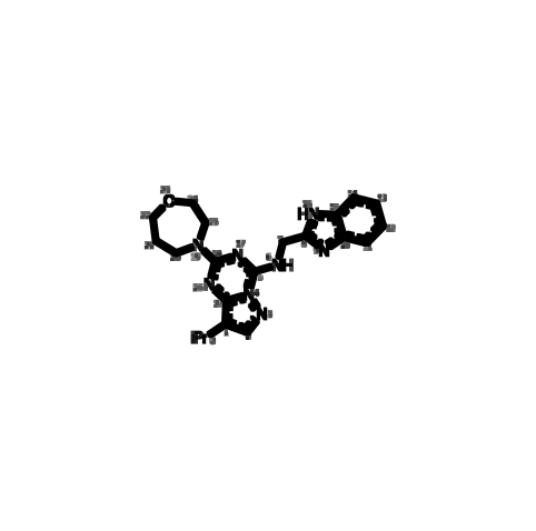 CC(C)c1cnn2c(NCc3nc4ccccc4[nH]3)nc(N3CCCOCC3)nc12